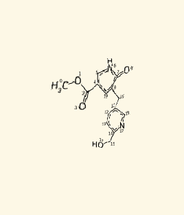 COC(=O)c1c[nH]c(=O)c(Cc2ccc(CO)nc2)c1